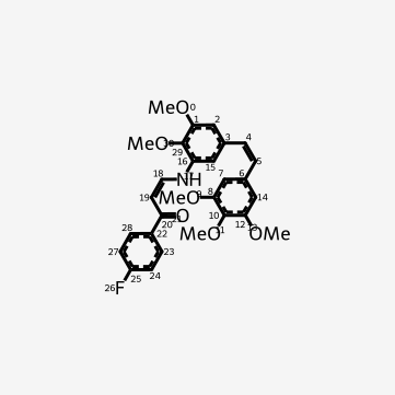 COc1cc(/C=C\c2cc(OC)c(OC)c(OC)c2)cc(N/C=C\C(=O)c2ccc(F)cc2)c1OC